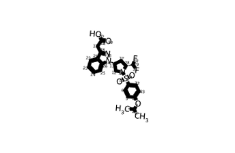 CC(C)Oc1ccc(S(=O)(=O)N2C[C@H](n3nc(CC(=O)O)c4ccccc43)C[C@@H]2C(F)F)cc1